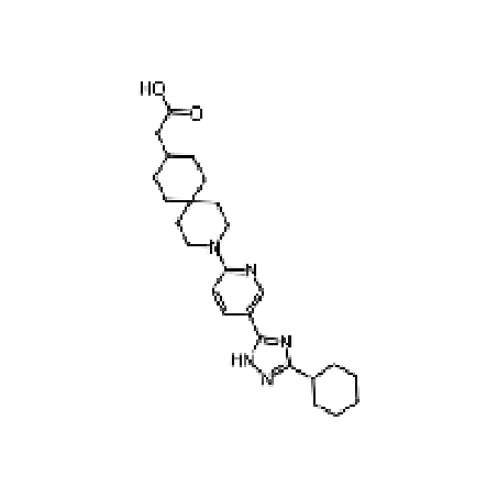 O=C(O)CC1CCC2(CC1)CCN(c1ccc(-c3nc(C4CCCCC4)n[nH]3)cn1)CC2